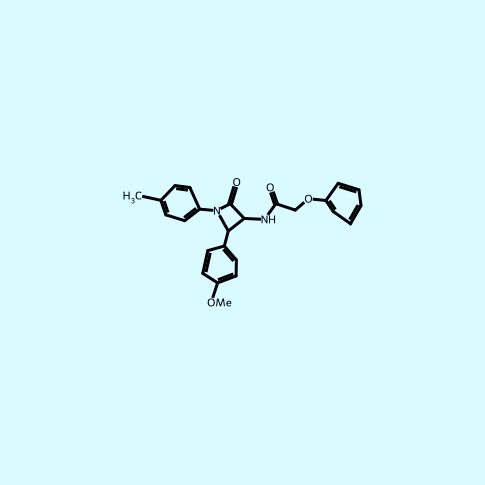 COc1ccc(C2C(NC(=O)COc3ccccc3)C(=O)N2c2ccc(C)cc2)cc1